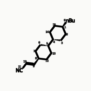 CCCC[C@H]1CC[C@H]([C@H]2CC[C@H](C=CC#N)CC2)CC1